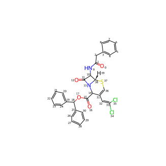 O=C(Cc1ccccc1)NC1C(=O)N2C(C(=O)OC(c3ccccc3)c3ccccc3)C(C=C(Cl)Cl)=CS[C@@H]12